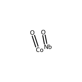 [O]=[Co].[O]=[Nb]